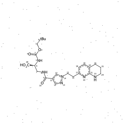 CC(C)(C)COC(=O)N[C@@H](CNC(=O)c1cnn(CCc2ccc3c(n2)NCCC3)c1)C(=O)O